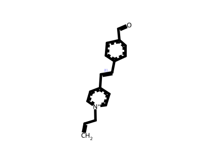 C=CC[n+]1ccc(/C=C/c2ccc(C=O)cc2)cc1